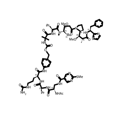 CC[C@H](C)[C@@H]([C@@H](CC(=O)N1CCC[C@H]1[C@H](OC)[C@@H](C)C(=O)N[C@@H](Cc1ccccc1)c1nccs1)OC)N(C)C(=O)[C@@H](NC(=O)C(C)(C)NC(=O)OCc1ccc(NC(=O)[C@H](CCCNC(N)=O)NC(=O)[C@@H](NC(=O)[C@H](CNC(=O)c2cnc(SC)nc2)NC(C)=O)C(C)C)cc1)C(C)C